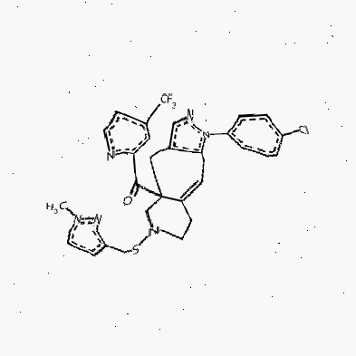 Cn1ccc(SN2CCC3=Cc4c(cnn4-c4ccc(Cl)cc4)CC3(C(=O)c3cc(C(F)(F)F)ccn3)C2)n1